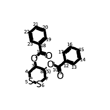 O=C(OC1CSSC[C@H]1OC(=O)c1ccccc1)c1ccccc1